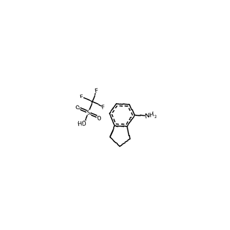 Nc1cccc2c1CCC2.O=S(=O)(O)C(F)(F)F